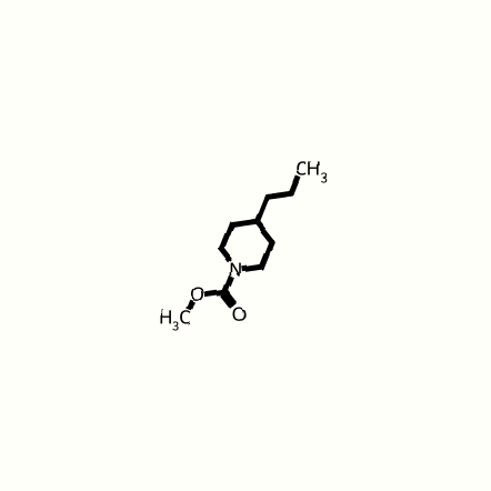 CCCC1CCN(C(=O)OC)CC1